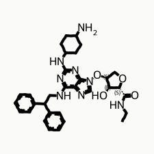 CCNC(=O)[C@H]1OC[C@H](On2cnc3c(NCC(c4ccccc4)c4ccccc4)nc(NC4CCC(N)CC4)nc32)[C@@H]1O